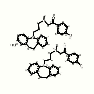 CN(CCCN1c2ccccc2CCc2ccccc21)CC(=O)c1ccc(Cl)cc1.CN(CCCN1c2ccccc2CCc2ccccc21)CC(=O)c1ccc(Cl)cc1.Cl